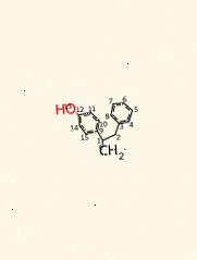 [CH2]C(Cc1ccccc1)c1ccc(O)cc1